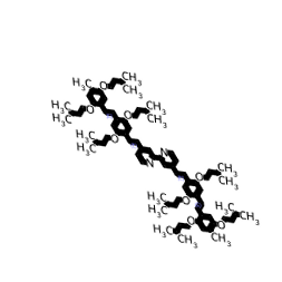 Cc1cc(OCCC(C)C)c(/C=C/c2cc(OCCC(C)C)c(/C=C/c3ccnc(-c4cc(/C=C/c5cc(OCCC(C)C)c(/C=C/c6cc(OCCC(C)C)c(C)cc6OCCC(C)C)cc5OCCC(C)C)ccn4)c3)cc2OCCC(C)C)cc1OCCC(C)C